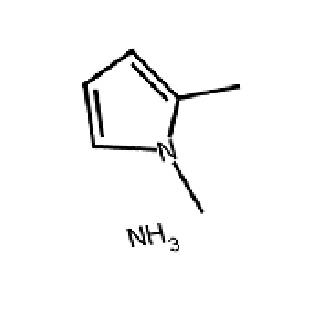 Cc1cccn1C.N